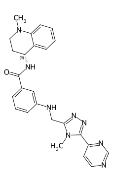 CN1CC[C@@H](NC(=O)c2cccc(NCc3nnc(-c4ccncn4)n3C)c2)c2ccccc21